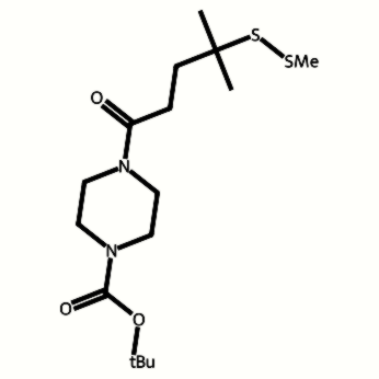 CSSC(C)(C)CCC(=O)N1CCN(C(=O)OC(C)(C)C)CC1